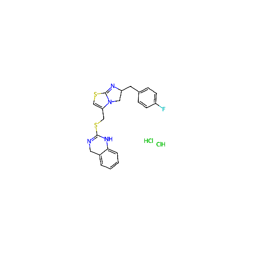 Cl.Cl.Fc1ccc(CC2CN3C(CSC4=NCc5ccccc5N4)=CSC3=N2)cc1